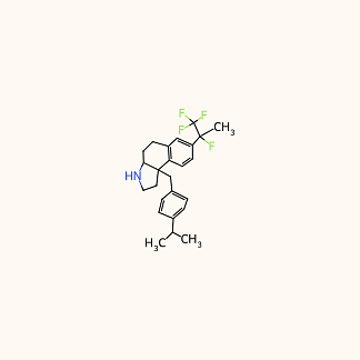 CC(C)c1ccc(CC23CCNC2CCc2cc(C(C)(F)C(F)(F)F)ccc23)cc1